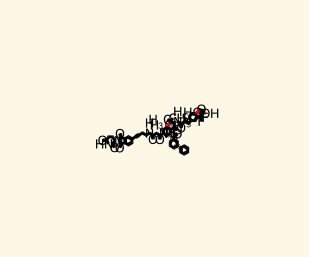 CC(C)(C)[C@H](NC(=O)c1cc2cc(C(F)(F)P(=O)(O)O)ccc2s1)C(=O)N1CCN(C(=O)CC(=O)NCCC#Cc2ccc3c(c2)C(=O)N(C2CCC(=O)NC2=O)C3=O)C[C@H]1C(=O)N1CCC[C@H](c2ccccc2)C1